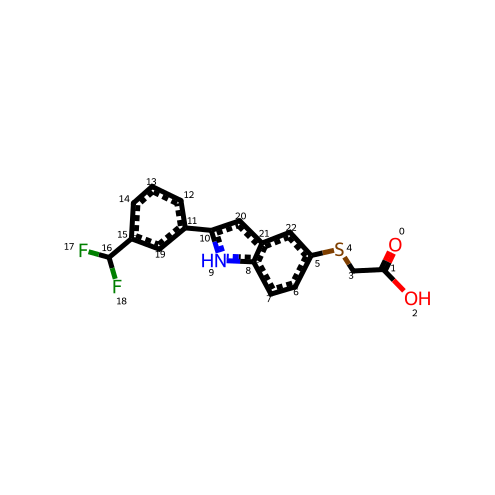 O=C(O)CSc1ccc2[nH]c(-c3cccc(C(F)F)c3)cc2c1